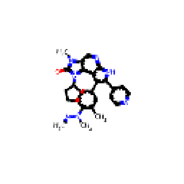 C=NN(C)c1ccc(-c2c(-c3ccncc3)[nH]c3ncc4c(c23)n(C2CCCC2)c(=O)n4C)cc1C